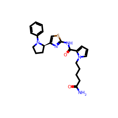 NC(=O)CCCCn1cccc1C(=O)Nc1nc([C@H]2CCCN2c2ccccc2)cs1